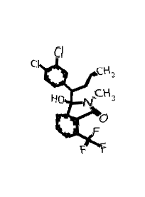 C=CCC(c1ccc(Cl)c(Cl)c1)C1(O)c2cccc(C(F)(F)F)c2C(=O)N1C